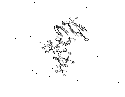 CC1(C)C[C@@H](C[C@H](NC(=O)[C@@H]2[C@@H]3[C@H](CN2C(=O)[C@@H](NC(=O)OC(C)(C)C)C(C)(C)C)C3(C)C)C(N)=O)C(=O)N1